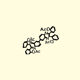 CC(=O)Oc1ccccc1-c1nc2ccc(-c3ccc4nc(-c5ccccc5OC(C)=O)c(-c5ccccc5OC(C)=O)nc4c3)cc2nc1-c1ccccc1OC(C)=O